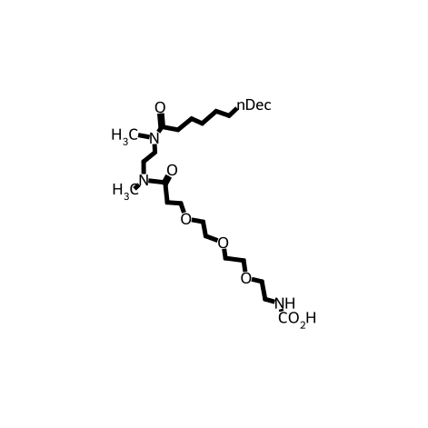 CCCCCCCCCCCCCCCC(=O)N(C)CCN(C)C(=O)CCOCCOCCOCCNC(=O)O